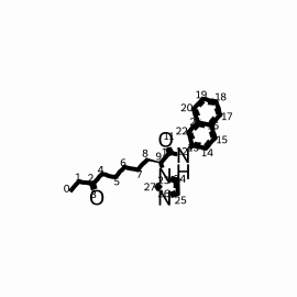 CCC(=O)CCCCC[C@@H](C(=O)Nc1ccc2ccccc2c1)n1ccnc1